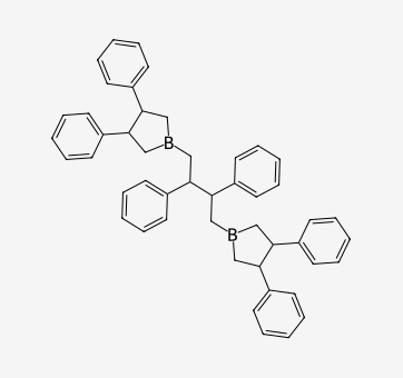 c1ccc(C2CB(CC(c3ccccc3)C(CB3CC(c4ccccc4)C(c4ccccc4)C3)c3ccccc3)CC2c2ccccc2)cc1